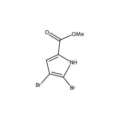 COC(=O)c1cc(Br)c(Br)[nH]1